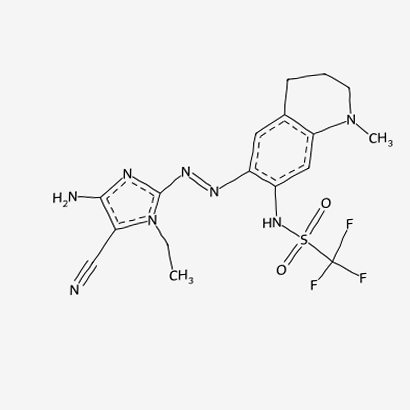 CCn1c(N=Nc2cc3c(cc2NS(=O)(=O)C(F)(F)F)N(C)CCC3)nc(N)c1C#N